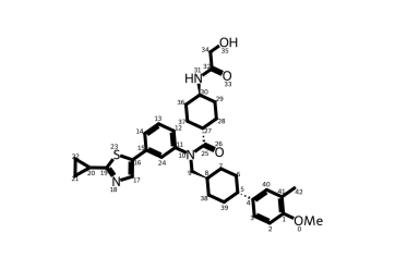 COc1ccc([C@H]2CC[C@H](CN(c3cccc(-c4cnc(C5CC5)s4)c3)C(=O)[C@H]3CC[C@H](NC(=O)CO)CC3)CC2)cc1C